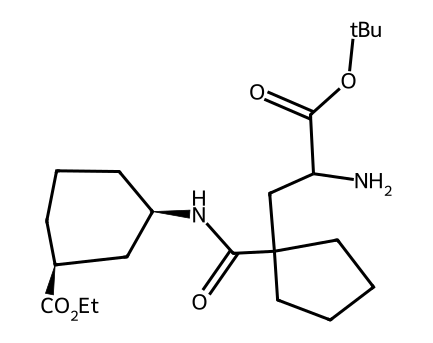 CCOC(=O)[C@H]1CCC[C@@H](NC(=O)C2(CC(N)C(=O)OC(C)(C)C)CCCC2)C1